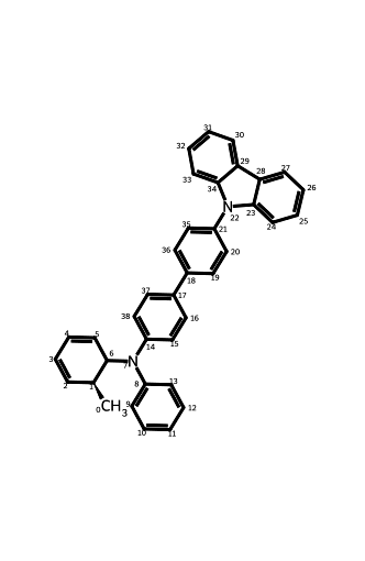 C[C@H]1C=CC=CC1N(c1ccccc1)c1ccc(-c2ccc(-n3c4ccccc4c4ccccc43)cc2)cc1